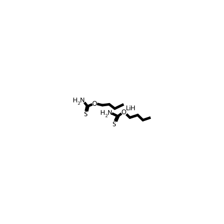 CCCCOC(N)=S.CCCCOC(N)=S.[LiH]